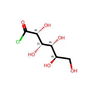 O=C(Cl)[C@H](O)[C@@H](O)[C@H](O)[C@H](O)CO